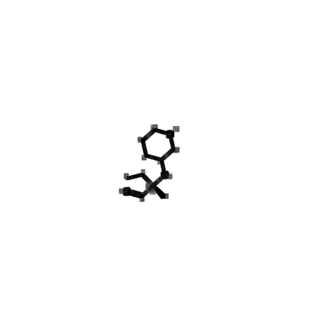 CC[C@@](C)(C=O)OC1CCCOC1